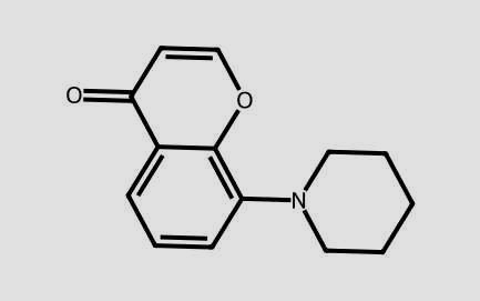 O=c1ccoc2c(N3CCCCC3)cccc12